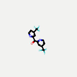 O=C(c1cc(C(F)(F)F)ccn1)c1cc(C(F)(F)F)ccn1